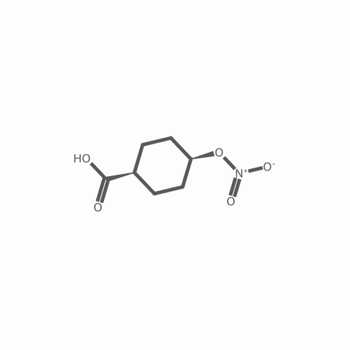 O=C(O)[C@H]1CC[C@@H](O[N+](=O)[O-])CC1